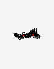 CC(C)C1=C2[C@H]3CCC4[C@@]5(C)CC[C@H](OC(=O)[C@H]6C[C@@H](C(=O)OCc7ccccc7)C6(C)C)C(C)(C)C5CC[C@@]4(C)[C@]3(C)CC[C@@]2(C(=O)NC(C)(C)CO)CC1=O